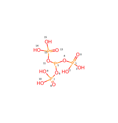 O=P(O)(O)OP(OP(=O)(O)O)OP(=O)(O)O